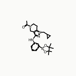 CC(=O)N1CCc2c(c(Nc3cccc(B4OC(C)(C)C(C)(C)O4)c3)nn2CC2CC2)C1